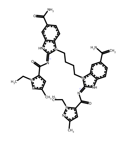 C=C(N)c1ccc2[nH]/c(=N\C(=O)c3cc(C)nn3CC)n(CCCCn3/c(=N/C(=O)c4cc(C)nn4CC)[nH]c4cc(C(N)=O)ccc43)c2c1